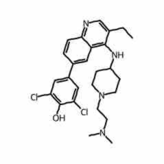 CCc1cnc2ccc(-c3cc(Cl)c(O)c(Cl)c3)cc2c1NC1CCN(CCN(C)C)CC1